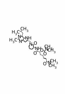 Cc1nc(CC(C)C)c2[nH]c(Cn3cccc(NC(=O)C(CC/C=C/C(=O)N(C)C)OC(=O)N(C)C)c3=O)cc2n1